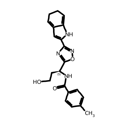 Cc1ccc(C(=O)N[C@@H](CCO)c2nc(-c3cc4c([nH]3)=CCCC=4)no2)cc1